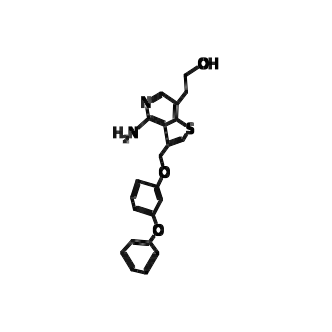 Nc1ncc(CCO)c2scc(COc3cccc(Oc4ccccc4)c3)c12